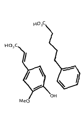 COc1cc(C=CC(=O)O)ccc1O.O=C(O)CCCCc1ccccc1